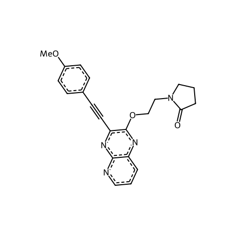 COc1ccc(C#Cc2nc3ncccc3nc2OCCN2CCCC2=O)cc1